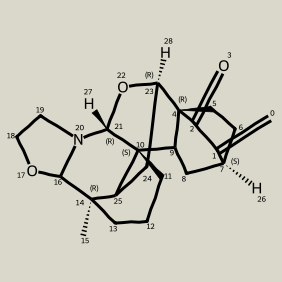 C=C1C(=O)[C@]23CC[C@H]1CC2[C@@]12CCC[C@@]4(C)C5OCCN5[C@@H]1O[C@@H]3CC42